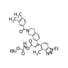 CCn1nnc2c(C)c([C@@H](CC(=O)ONC(=O)OC(C)(C)C)c3ccc4c(c3)CN(C(=O)c3ccc(C)c(C)c3)CC4)ccc21